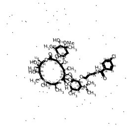 CO[C@]1(C)C[C@H](O[C@H]2[C@H](C)[C@@H](O[C@@H]3O[C@H](C)C[C@H](N(C)C)[C@H]3OCCCNC(=O)c3ccc(Cl)cc3)[C@](C)(O)C[C@@H](C)CN(C)[C@H](C)[C@@H](O)[C@](C)(O)[C@@H](I)OC(=O)[C@@H]2C)O[C@@H](C)[C@@H]1O